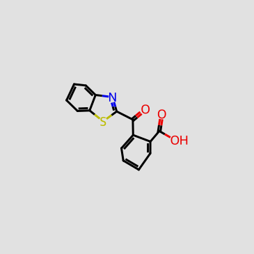 O=C(O)c1ccccc1C(=O)c1nc2ccccc2s1